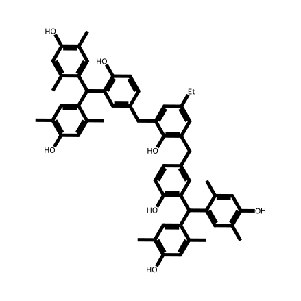 CCc1cc(Cc2ccc(O)c(C(c3cc(C)c(O)cc3C)c3cc(C)c(O)cc3C)c2)c(O)c(Cc2ccc(O)c(C(c3cc(C)c(O)cc3C)c3cc(C)c(O)cc3C)c2)c1